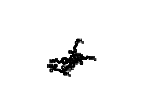 CCC(C)(CC(C)(CC(C)(CC(C)c1ccc(CN=[N+]=[N-])cc1)C(=O)OCCOC)C(=O)OCCN)C(=O)OCC[N+](C)(C)CCCS(=O)(=O)O